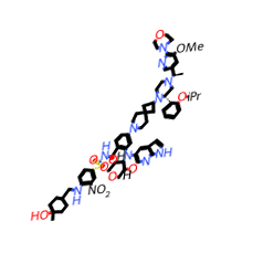 COc1cc([C@@H](C)N2CCN(C3CC4(CCN(c5ccc(C(=O)NS(=O)(=O)c6ccc(NCC7CCC(C)(O)CC7)c([N+](=O)[O-])c6)c(N6c7cc8cc[nH]c8nc7O[C@H]7COCC[C@@H]76)c5)CC4)C3)[C@@H](c3ccccc3OC(C)C)C2)cnc1N1CCOCC1